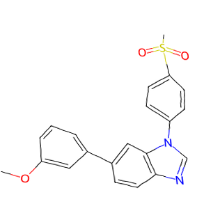 COc1cccc(-c2ccc3ncn(-c4ccc(S(C)(=O)=O)cc4)c3c2)c1